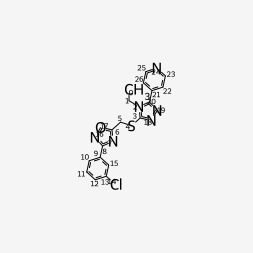 CCn1c(SCc2nc(-c3cccc(Cl)c3)no2)nnc1-c1ccncc1